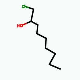 CCCCCCCC(O)CCl